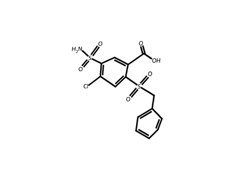 NS(=O)(=O)c1cc(C(=O)O)c(S(=O)(=O)Cc2ccccc2)cc1Cl